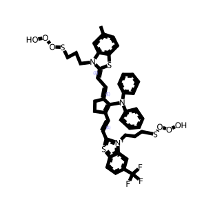 Cc1ccc2c(c1)N(CCCSOOO)/C(=C/C=C1\CCC(/C=C/c3sc4ccc(C(F)(F)F)cc4[n+]3CCCSOOO)=C1N(c1ccccc1)c1ccccc1)S2